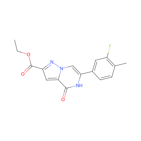 CCOC(=O)c1cc2c(=O)[nH]c(-c3ccc(C)c(F)c3)cn2n1